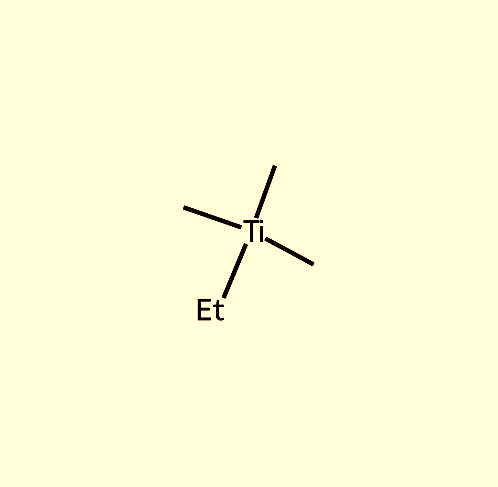 C[CH2][Ti]([CH3])([CH3])[CH3]